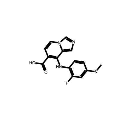 CSc1ccc(Nc2c(C(=O)O)ccn3cncc23)c(F)c1